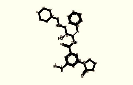 CCNc1cc(C(=O)N[C@@H](Cc2ccccc2)[C@H](O)CNCC2CCCCC2)cc(N2CCCC2=O)c1